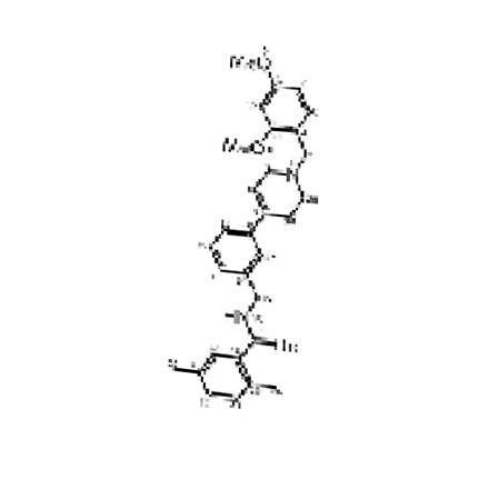 COc1ccc(CN2CC=C(c3cccc(CNC(=O)c4cc(C)ccc4C)c3)CC2)c(OC)c1